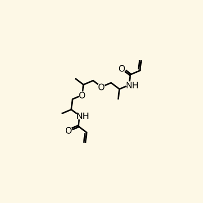 C=CC(=O)NC(C)COCC(C)OCC(C)NC(=O)C=C